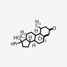 CCCC1(O)CC[C@H]2[C@@H]3CCC4=CC(=O)CC(C)[C@]4(C)[C@@H]3CC[C@@]21C